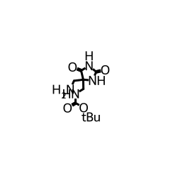 CC(C)(C)OC(=O)NCC1(CN)NC(=O)NC1=O